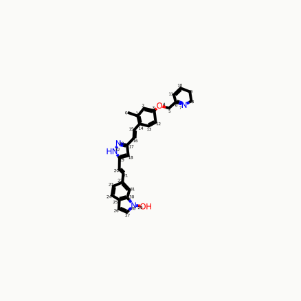 Cc1cc(OCC2=NCCC=C2)ccc1/C=C/c1cc(/C=C/c2ccc3ccn(O)c3c2)[nH]n1